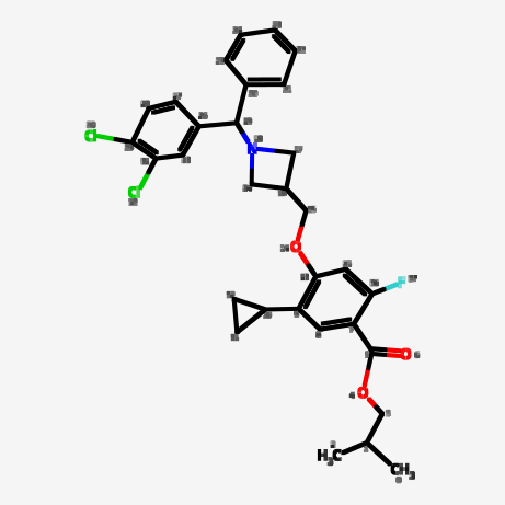 CC(C)COC(=O)c1cc(C2CC2)c(OCC2CN(C(c3ccccc3)c3ccc(Cl)c(Cl)c3)C2)cc1F